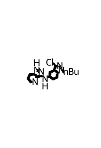 CCCCn1nc(Cl)c2cc(Nc3n[nH]c4cccnc34)ccc21